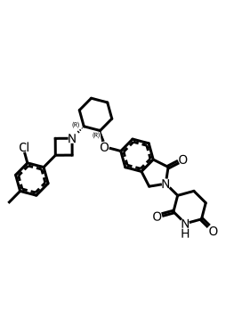 Cc1ccc(C2CN([C@@H]3CCCC[C@H]3Oc3ccc4c(c3)CN(C3CCC(=O)NC3=O)C4=O)C2)c(Cl)c1